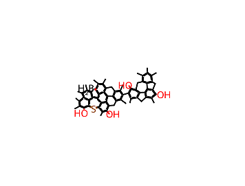 Bc1c(C)c(C)c2c3c4c5c(c(O)c(C)c6sc7c(O)c(C)c(C)c8c(C)c(C)c(C)c(c78)c(c13)c65)Cc1c(C)c(-c3c(C)c5c6c(c3O)Cc3c(C)c(C)c(C)c7c3-c3c(c(O)c(C)c(c3-6)C5)C7)c(C)c(c1-4)C2